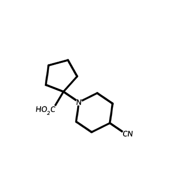 N#CC1CCN(C2(C(=O)O)CCCC2)CC1